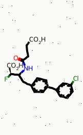 O=C(O)CCC(=O)NC(Cc1ccc(-c2cccc(Cl)c2)cc1)[C@@H](F)C(=O)O